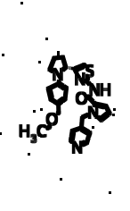 CCOCc1ccc(N2CCC[C@@H]2c2csc(NC(=O)c3cccn3Cc3ccncc3)n2)cc1